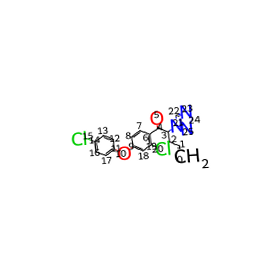 C=CCC(C(=O)c1ccc(Oc2ccc(Cl)cc2)cc1Cl)n1cncn1